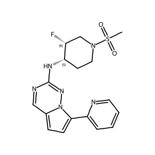 CS(=O)(=O)N1CC[C@H](Nc2ncc3ccc(-c4ccccn4)n3n2)[C@H](F)C1